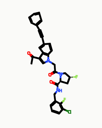 CC(=O)c1cn(CC(=O)N2C[C@H](F)C[C@H]2C(=O)NCc2cccc(Cl)c2F)c2ccc(C#Cc3ccccc3)cc12